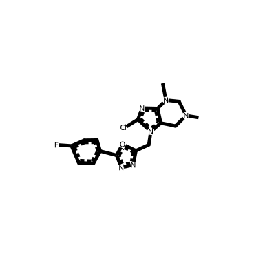 CN1Cc2c(nc(Cl)n2Cc2nnc(-c3ccc(F)cc3)o2)N(C)C1